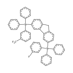 Fc1cccc([Si](c2ccccc2)(c2ccccc2)c2ccc3c(c2)-c2cc([Si](c4ccccc4)(c4ccccc4)c4cccc(C(F)(F)F)c4)ccc2C3)c1